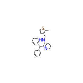 Cc1sccc1CNC1C2CCN(C2)C1C(c1ccccc1)c1ccccc1